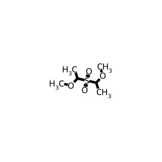 COC(C)S(=O)(=O)C(C)OC